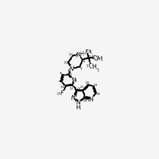 CCC(C)(O)C1CN(c2ccc(F)c(-c3n[nH]c4ncccc34)n2)CCN1